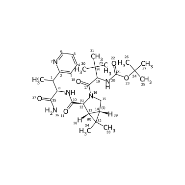 CC(c1ccccn1)C(NC(=O)[C@@H]1[C@@H]2[C@H](CN1C(=O)C(NC(=O)OC(C)(C)C)C(C)(C)C)C2(C)C)C(N)=O